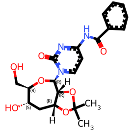 CC1(C)O[C@H]2[C@H](n3ccc(NC(=O)c4ccccc4)nc3=O)O[C@H](CO)[C@@H](O)C[C@H]2O1